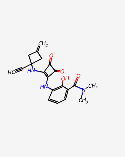 C#CC1(Nc2c(Nc3cccc(C(=O)N(C)C)c3O)c(=O)c2=O)CC(=C)C1